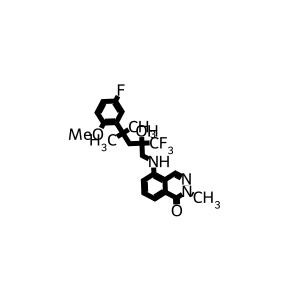 COc1ccc(F)cc1C(C)(C)CC(O)(CNc1cccc2c(=O)n(C)ncc12)C(F)(F)F